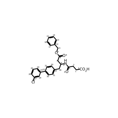 O=C(O)CCC(=O)NC(CC(=O)OCc1ccccc1)Cc1ccc(-c2cccc(Cl)c2)cc1